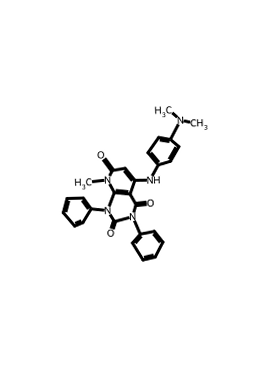 CN(C)c1ccc(Nc2cc(=O)n(C)c3c2c(=O)n(-c2ccccc2)c(=O)n3-c2ccccc2)cc1